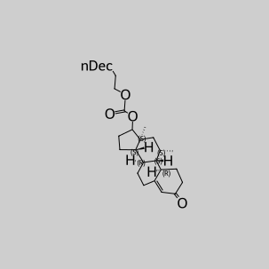 CCCCCCCCCCCCOC(=O)OC1CC[C@H]2[C@@H]3CCC4=CC(=O)CC[C@@H]4[C@H]3[C@@H](C)C[C@]12C